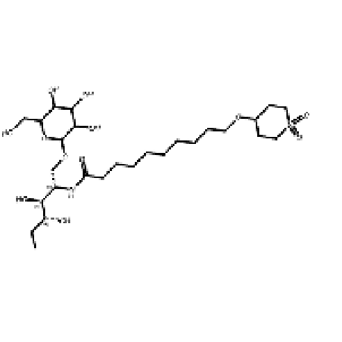 CC[C@@H](O)[C@@H](O)[C@H](COC1OC(CO)C(O)C(O)C1O)NC(=O)CCCCCCCCCOC1CCS(=O)(=O)CC1